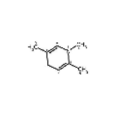 CC1=CN(C)C(C)=CC1